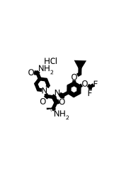 C[C@H](N)c1oc(-c2ccc(OC(F)F)c(OCC3CC3)c2)nc1C(=O)N1CCC(C(N)=O)CC1.Cl